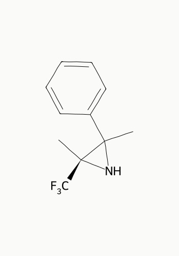 CC1(c2ccccc2)N[C@@]1(C)C(F)(F)F